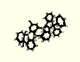 Cc1cc2c3c(c1)-n1c4c(c5cccc(c51)B3c1cccc3c1N2C1(C)CCCCC31C)C(c1ccccc1)(c1ccccc1)c1ccccc1-4